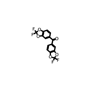 O=C(c1ccc2c(c1)OC(F)(F)O2)c1ccc2c(c1)OC(F)(F)O2